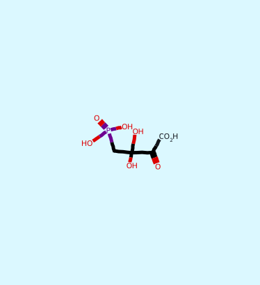 O=C(O)C(=O)C(O)(O)CP(=O)(O)O